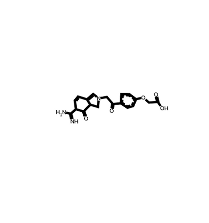 N=C(N)C1C=CC2=CN(CC(=O)c3ccc(OCC(=O)O)cc3)CC2C1=O